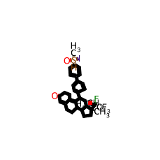 CC12CC(c3ccc(-c4ccc([SH](C)(=O)I)cc4)cc3)C3=C4CCC(=O)C=C4CCC3C1CC[C@@]2(C)C(C)(F)C(F)(F)F